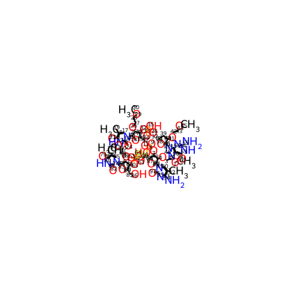 COCCOC1[C@@H](OP(=O)(O)OC[C@H]2O[C@@H](n3cc(C)c(=O)[nH]c3=O)C(OCCOC)[C@H]2OP(=O)(O)OC[C@@H]2C[C@H](OCCOC)[C@H](n3cnc4c(=O)[nH]c(N)nc43)O2)[C@@H](COP(=O)(S)O[C@@H]2C(OCCOC)[C@H](n3cc(C)c(=O)[nH]c3=O)O[C@@H]2CO)O[C@H]1n1cc(C)c(N)nc1=O